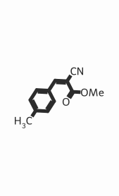 COC(=O)C(C#N)=Cc1ccc(C)cc1